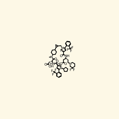 CN(C(=O)[C@@H](CC(=O)O)NC(=O)c1cc(-c2ccccc2C(F)(F)F)n(C2CCCC2)n1)C1CCC(C2CC2Cn2nc(C(=O)N[C@@H](CCN3CCCC(F)(F)C3)CC(=O)O)cc2-c2ccccc2C(F)(F)F)CC1